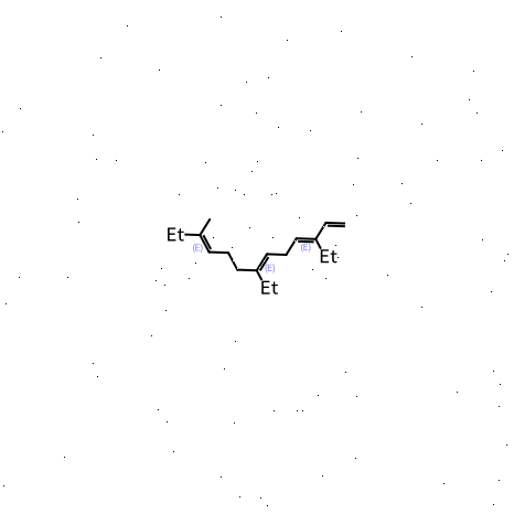 C=C/C(=C/C/C=C(\CC)CC/C=C(\C)CC)CC